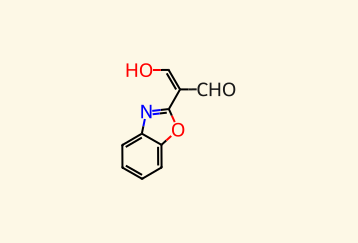 O=C/C(=C/O)c1nc2ccccc2o1